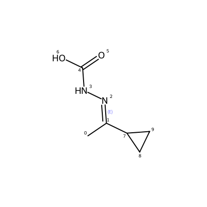 C/C(=N\NC(=O)O)C1CC1